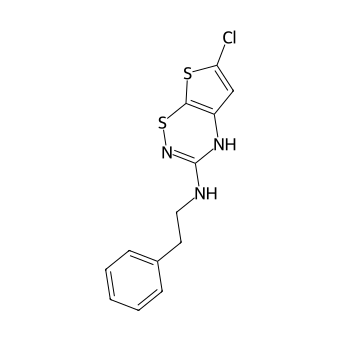 Clc1cc2c(s1)SN=C(NCCc1ccccc1)N2